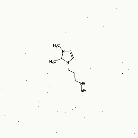 CCCNCCCN1C=CN(C)C1C